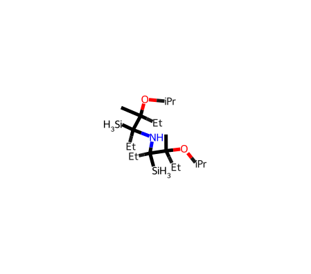 CCC([SiH3])(NC([SiH3])(CC)C(C)(CC)OC(C)C)C(C)(CC)OC(C)C